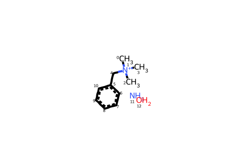 C[N+](C)(C)Cc1ccccc1.N.O